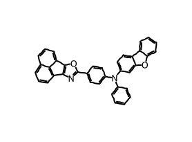 c1ccc(N(c2ccc(-c3nc4c(o3)-c3cccc5cccc-4c35)cc2)c2ccc3c(c2)oc2ccccc23)cc1